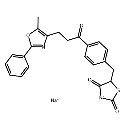 Cc1oc(-c2ccccc2)nc1CCC(=O)c1ccc(CC2SC(=O)[N-]C2=O)cc1.[Na+]